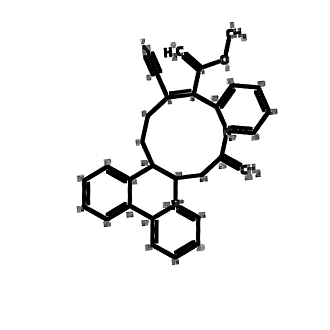 C=C(OC)C1=C(C#N)CCC2c3ccccc3-c3cccc[n+]3C2CC(=C)[n+]2ccccc21